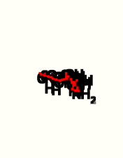 CC(=O)SCCNC(=O)CCNC(=O)C(O)C(C)(C)COP(=O)(O)OP(=O)(O)OC[C@H]1O[C@@H](n2cnc3c(N)ncnc32)[C@H](O)[C@@H]1OP(=O)(O)O.CCO